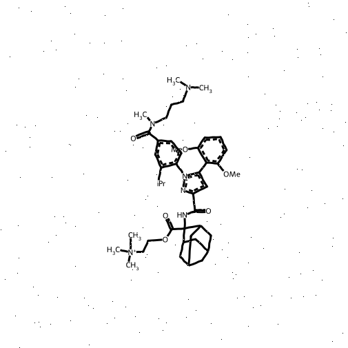 COc1cccc(OC)c1-c1cc(C(=O)NC2(C(=O)OCC[N+](C)(C)C)C3CC4CC(C3)CC2C4)nn1-c1ccc(C(=O)N(C)CCCN(C)C)cc1C(C)C